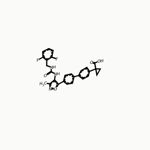 Cc1noc(-c2ccc(-c3ccc(C4(C(=O)O)CC4)cc3)cc2)c1NC(=O)NCc1c(F)cccc1F